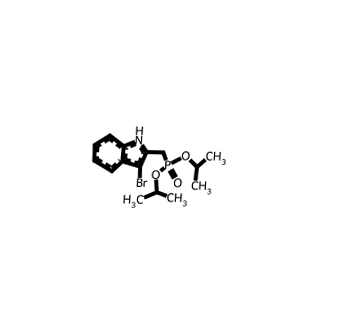 CC(C)OP(=O)(Cc1[nH]c2ccccc2c1Br)OC(C)C